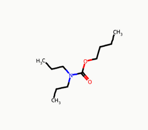 CCCCOC(=O)N(CCC)CCC